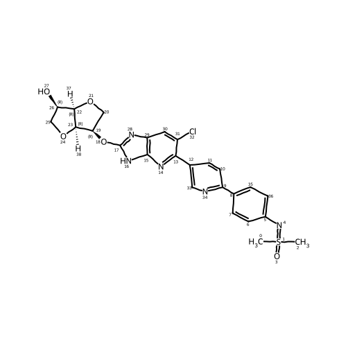 CS(C)(=O)=Nc1ccc(-c2ccc(-c3nc4[nH]c(O[C@@H]5CO[C@H]6[C@@H]5OC[C@H]6O)nc4cc3Cl)cn2)cc1